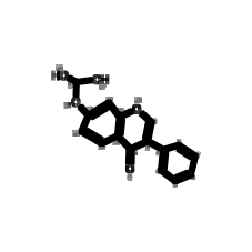 O=c1c(-c2ccccc2)coc2cc(OC(O)O)ccc12